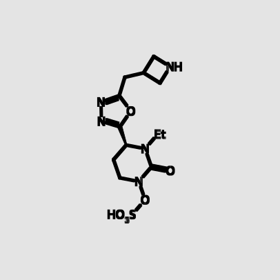 CCN1C(=O)N(OS(=O)(=O)O)CC[C@H]1c1nnc(CC2CNC2)o1